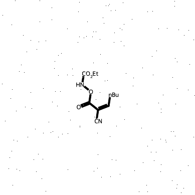 CCCCC=C(C#N)C(=O)ONC(=O)OCC